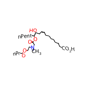 CCCCCC(OC(=O)CN(C)CCOC(=O)CCC)C(O)C/C=C\CCCCCCCC(=O)O